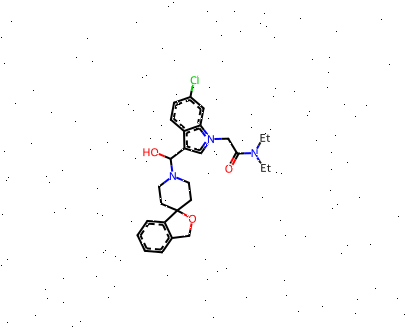 CCN(CC)C(=O)Cn1cc(C(O)N2CCC3(CC2)OCc2ccccc23)c2ccc(Cl)cc21